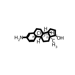 C[C@]12CC[C@H]3[C@@H](CCC4C=C(N)C=C[C@@]43C)[C@@H]1CC[C@@H]2O